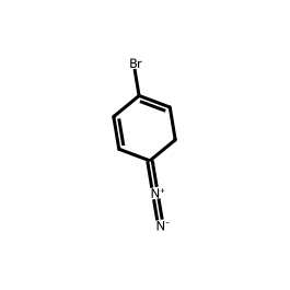 [N-]=[N+]=C1C=CC(Br)=CC1